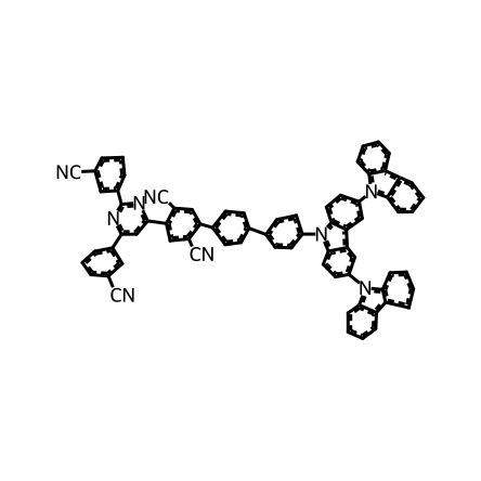 N#Cc1cccc(-c2cc(-c3cc(C#N)c(-c4ccc(-c5ccc(-n6c7ccc(-n8c9ccccc9c9ccccc98)cc7c7cc(-n8c9ccccc9c9ccccc98)ccc76)cc5)cc4)cc3C#N)nc(-c3cccc(C#N)c3)n2)c1